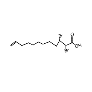 C=CCCCCCCCC(Br)C(Br)C(=O)O